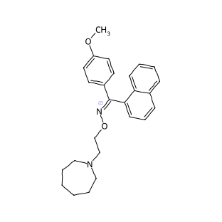 COc1ccc(/C(=N/OCCN2CCCCCC2)c2cccc3ccccc23)cc1